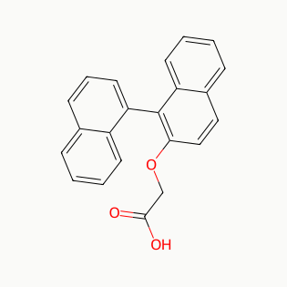 O=C(O)COc1ccc2ccccc2c1-c1cccc2ccccc12